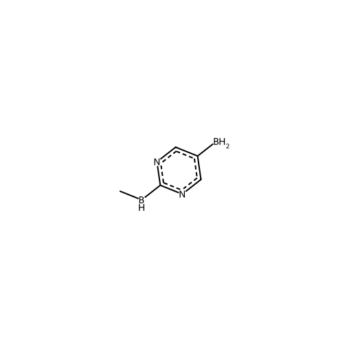 Bc1cnc(BC)nc1